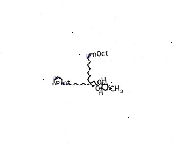 CCCCC/C=C\C/C=C\CCCCCCC1(CCCCCC/C=C\CCCCCCCC)CC2(C1)O[C@H]1CN(C)C[C@@H]1O2